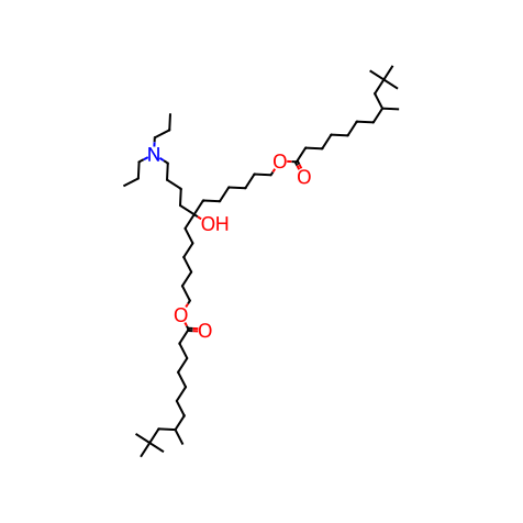 CCCN(CCC)CCCCC(O)(CCCCCCOC(=O)CCCCCCC(C)CC(C)(C)C)CCCCCCOC(=O)CCCCCCC(C)CC(C)(C)C